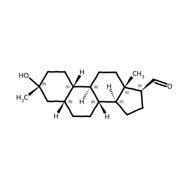 C[C@@]1(O)CC[C@H]2[C@H](CC[C@@H]3[C@@H]2CC[C@]2(C)[C@@H](C=O)CC[C@@H]32)C1